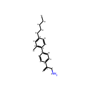 C=C(CN)c1ccc(-c2ccc(CCCCC)cc2C)cc1